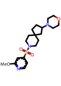 COc1cc(S(=O)(=O)N2CCC3(CCC(N4CCOCC4)C3)CC2)ccn1